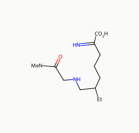 CCC(CCCC(=N)C(=O)O)CNCC(=O)NC